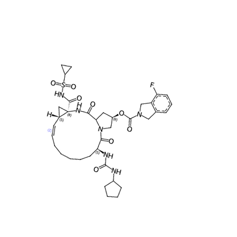 O=C(NC1CCCC1)N[C@H]1CCCCC/C=C\[C@@H]2C[C@@]2(C(=O)NS(=O)(=O)C2CC2)NC(=O)C2C[C@@H](OC(=O)N3Cc4cccc(F)c4C3)CN2C1=O